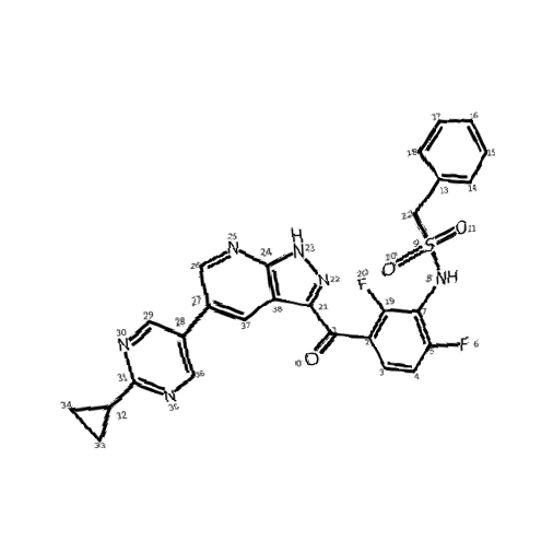 O=C(c1ccc(F)c(NS(=O)(=O)Cc2ccccc2)c1F)c1n[nH]c2ncc(-c3cnc(C4CC4)nc3)cc12